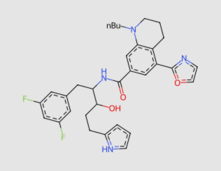 CCCCN1CCCc2c(-c3ncco3)cc(C(=O)NC(Cc3cc(F)cc(F)c3)C(O)CCc3ccc[nH]3)cc21